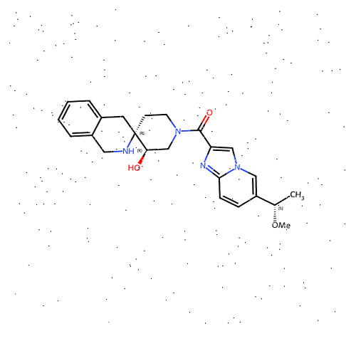 CO[C@@H](C)c1ccc2nc(C(=O)N3CC[C@]4(Cc5ccccc5CN4)[C@H](O)C3)cn2c1